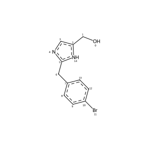 OCc1cnc(Cc2ccc(Br)cc2)[nH]1